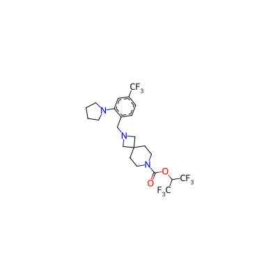 O=C(OC(C(F)(F)F)C(F)(F)F)N1CCC2(CC1)CN(Cc1ccc(C(F)(F)F)cc1N1CCCC1)C2